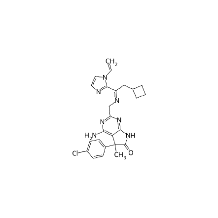 C=Cn1ccnc1/C(CC1CCC1)=N\Cc1nc(N)c2c(n1)NC(=O)C2(C)c1ccc(Cl)cc1